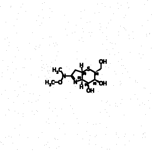 CON(C)C1=N[C@@H]2[C@@H](O)[C@H](O)[C@@H](CO)S[C@@H]2C1